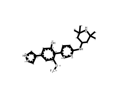 CC1(C)CC(Nc2ccc(-c3c(O)cc(-c4cn[nH]c4)cc3OC(F)(F)F)nn2)CC(C)(C)N1